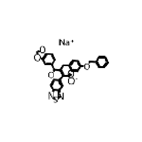 O=C([O-])C(=C(Cc1ccc(OCc2ccccc2)cc1)C(=O)c1ccc2c(c1)OCO2)c1ccc2nsnc2c1.[Na+]